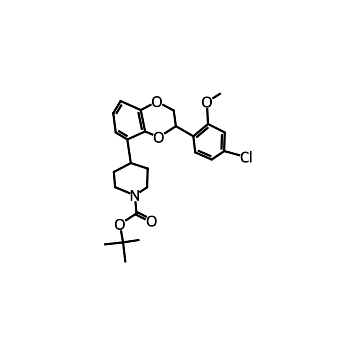 COc1cc(Cl)ccc1C1COc2cccc(C3CCN(C(=O)OC(C)(C)C)CC3)c2O1